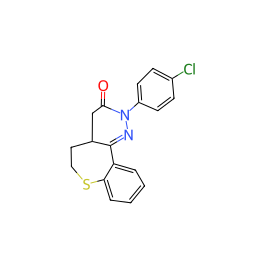 O=C1CC2CCSc3ccccc3C2=NN1c1ccc(Cl)cc1